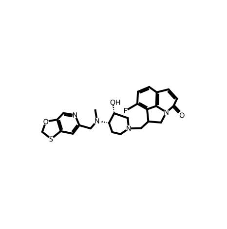 CN(Cc1cc2c(cn1)OCS2)[C@H]1CCN(CC2Cn3c(=O)ccc4ccc(F)c2c43)C[C@H]1O